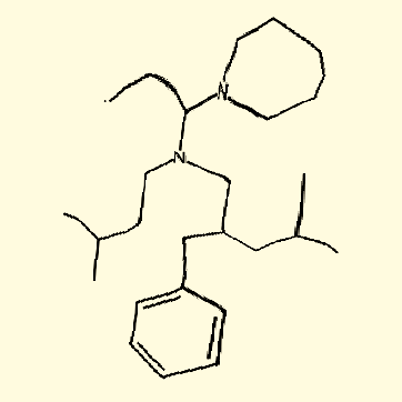 [CH2]CC(N1CCCCC1)N(CCC(C)C)CC(Cc1ccccc1)CC(C)C